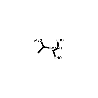 COC(C)OC.O=CCNC=O